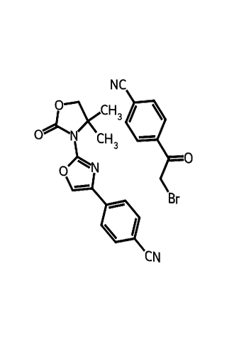 CC1(C)COC(=O)N1c1nc(-c2ccc(C#N)cc2)co1.N#Cc1ccc(C(=O)CBr)cc1